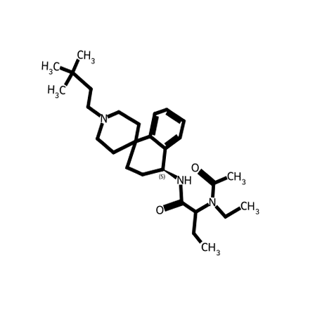 CCC(C(=O)N[C@H]1CCC2(CCN(CCC(C)(C)C)CC2)c2ccccc21)N(CC)C(C)=O